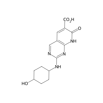 O=C(O)c1cc2cnc(NC3CCC(O)CC3)nc2[nH]c1=O